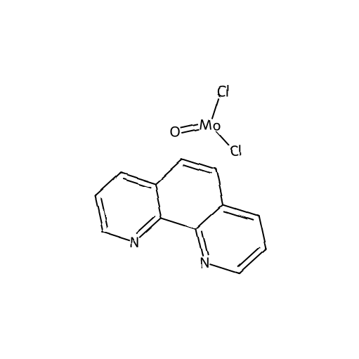 [O]=[Mo]([Cl])[Cl].c1cnc2c(c1)ccc1cccnc12